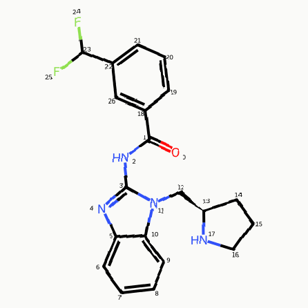 O=C(Nc1nc2ccccc2n1C[C@H]1CCCN1)c1cccc(C(F)F)c1